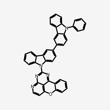 c1ccc(-n2c3ccccc3c3cc(-c4ccc5c(c4)c4ccccc4n5-c4nc5c6c(ccnc6n4)Oc4ccccc4-5)ccc32)cc1